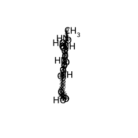 CCCCCNC(=O)CC[C@H](NC(=O)COCCOCCNC(=O)COCCOCCNC(=O)CCCCCCCCCOc1ccc(C(=O)O)cc1)C(=O)O